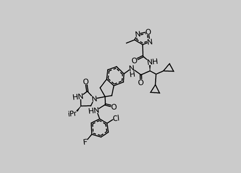 Cc1nonc1C(=O)N[C@H](C(=O)Nc1ccc2c(c1)CC(C(=O)Nc1cc(F)ccc1Cl)(N1C[C@@H](C(C)C)NC1=O)C2)C(C1CC1)C1CC1